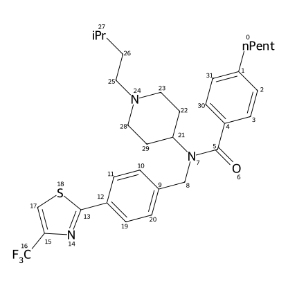 CCCCCc1ccc(C(=O)N(Cc2ccc(-c3nc(C(F)(F)F)cs3)cc2)C2CCN(CCC(C)C)CC2)cc1